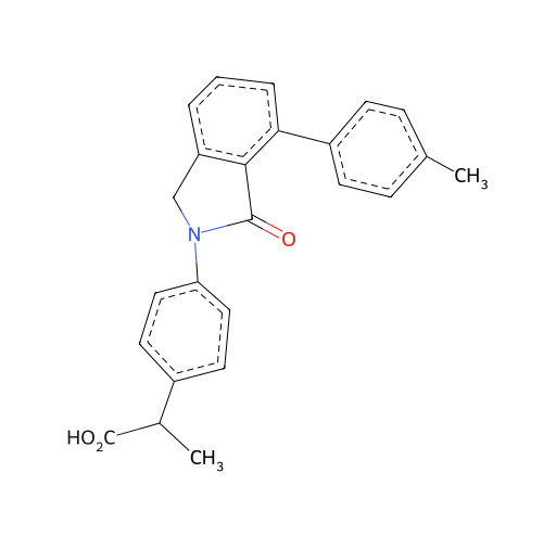 Cc1ccc(-c2cccc3c2C(=O)N(c2ccc(C(C)C(=O)O)cc2)C3)cc1